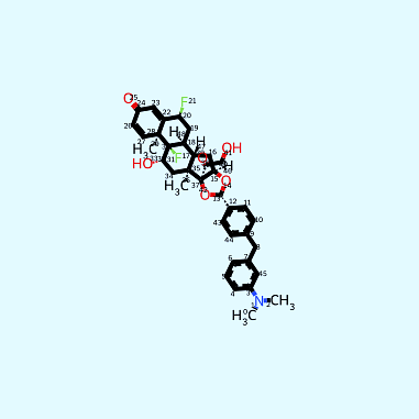 CN(C)c1cccc(Cc2ccc([C@H]3O[C@@H]4C[C@H]5[C@@H]6C[C@H](F)C7=CC(=O)C=C[C@]7(C)[C@@]6(F)[C@@H](O)C[C@]5(C)[C@]4(C(=O)CO)O3)cc2)c1